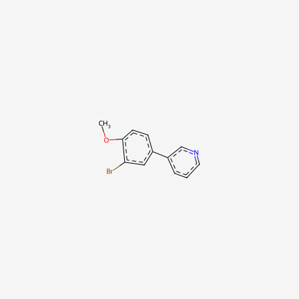 COc1ccc(-c2cccnc2)cc1Br